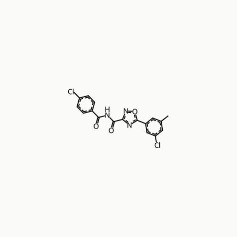 Cc1cc(Cl)cc(-c2nc(C(=O)NC(=O)c3ccc(Cl)cc3)no2)c1